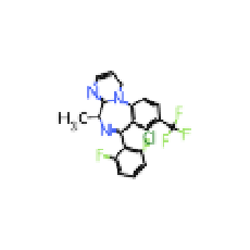 C[C@@H]1N=C(c2c(F)cccc2F)c2c(ccc(C(F)(F)F)c2Cl)N2CC=CN=C12